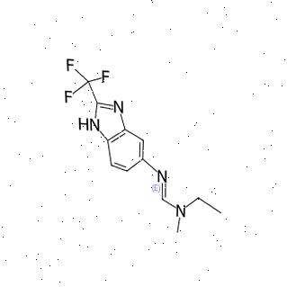 CCN(C)/C=N/c1ccc2[nH]c(C(F)(F)F)nc2c1